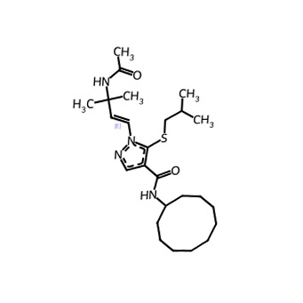 CC(=O)NC(C)(C)/C=C/n1ncc(C(=O)NC2CCCCCCCCC2)c1SCC(C)C